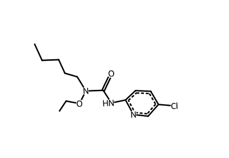 CCCCCN(OCC)C(=O)Nc1ccc(Cl)cn1